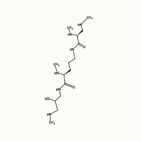 CNCC(O)CNC(=O)[C@H](CCCNC(=O)[C@H](CNC)NC)NC